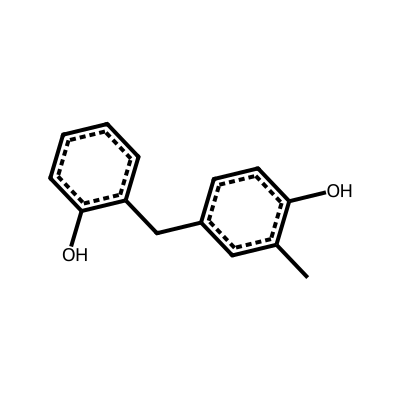 Cc1cc(Cc2ccccc2O)ccc1O